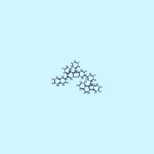 c1ccc(-c2ccccc2N(c2ccc(-c3cccc(-n4c5ccccc5c5ccc6ccccc6c54)c3)cc2)c2ccc(-c3ccc4ccccc4c3)cc2)cc1